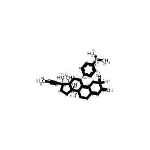 [2H]C1([2H])CC2=C3[C@@H](CCC2=CC1=O)[C@@H]1CC[C@@](O)(C#CC)[C@@]1(C)C[C@@H]3c1ccc(N(C)C)cc1